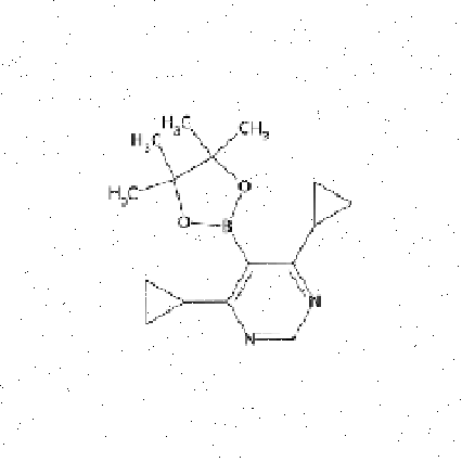 CC1(C)OB(c2c(C3CC3)ncnc2C2CC2)OC1(C)C